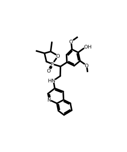 COc1cc(C(CNc2cnc3ccccc3c2)P2(=O)CC(C)C(C)O2)cc(OC)c1O